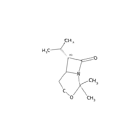 CC(C)[C@@H]1C(=O)N2C1CCOC2(C)C